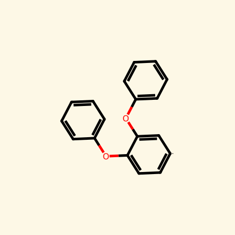 [c]1ccc(Oc2ccccc2)c(Oc2ccccc2)c1